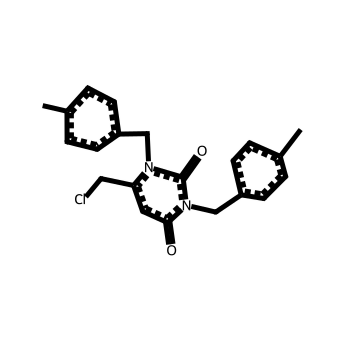 Cc1ccc(Cn2c(CCl)cc(=O)n(Cc3ccc(C)cc3)c2=O)cc1